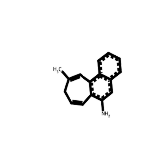 CC1=Cc2c(c(N)cc3ccccc23)C=CC1